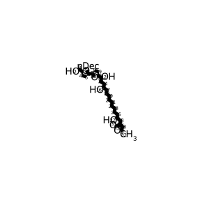 CCCCCCCCCC[C@H](O)[C@@H]1CC[C@@H]([C@@H]2CC[C@@H]([C@@H](O)CCC(O)CCCCCCCCC[C@@H](O)CC3=C[C@H](C)OC3=O)O2)O1